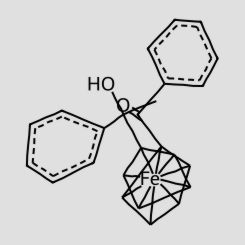 CC(O)(c1ccccc1)[C]12[CH]3[CH]4[CH]5[CH]1[Fe]45321678[CH]2[CH]1[CH]6[C]7(C(=O)c1ccccc1)[CH]28